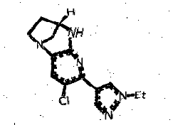 CCn1cc(-c2nc3c(cc2Cl)N2CC[C@@H](C2)N3)cn1